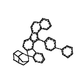 c1ccc(-c2ccc(-n3c4c5c(ccc4c4ccc6ccccc6c43)C3(c4ccccc4-5)C4CC5CC(C4)CC3C5)cc2)cc1